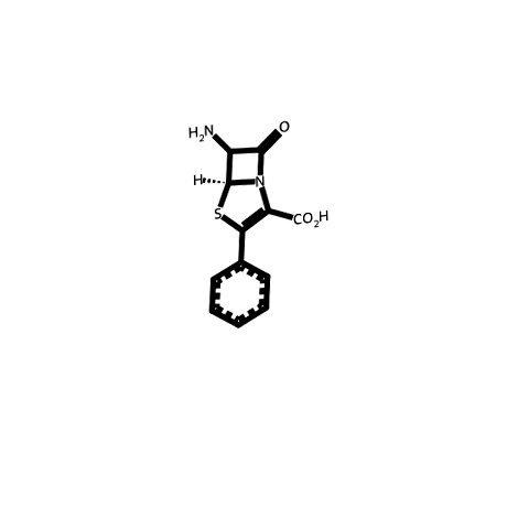 NC1C(=O)N2C(C(=O)O)=C(c3ccccc3)S[C@@H]12